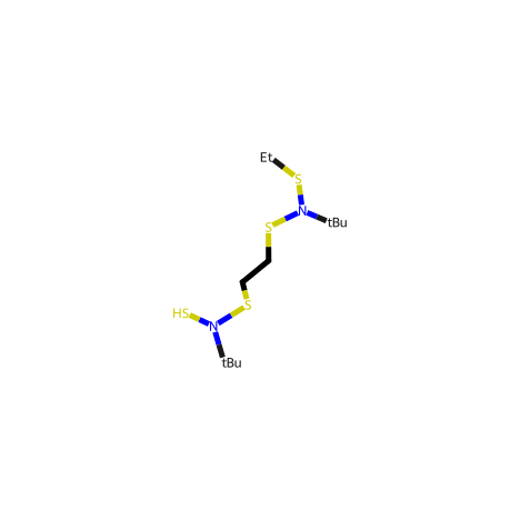 CCSN(SCCSN(S)C(C)(C)C)C(C)(C)C